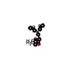 CC1(C)c2ccccc2C2(c3ccccc3-c3ccc(-c4ccc(N(c5ccc6c(c5)oc5ccccc56)c5ccc6c(c5)oc5ccccc56)cc4)cc32)c2ccccc21